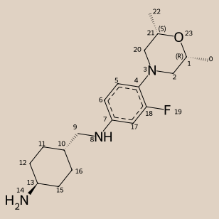 C[C@@H]1CN(c2ccc(NC[C@H]3CC[C@H](N)CC3)cc2F)C[C@H](C)O1